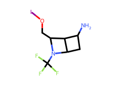 NC1CC2C1C(COI)N2C(F)(F)F